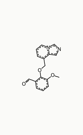 COc1cccc(C=O)c1OCc1cccn2cncc12